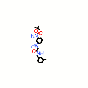 Cc1cccc(CNC(=O)CNc2cccc(NC(=O)OC(C)(C)C)c2)c1